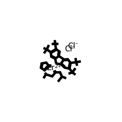 CC(C)C[C](CC(C)C)=[Zr+2]([C]1=CC=CC1)[CH]1c2cc(C(C)(C)C)c(C(C)(C)C)cc2-c2cc(C(C)(C)C)c(C(C)(C)C)cc21.[Cl-].[Cl-]